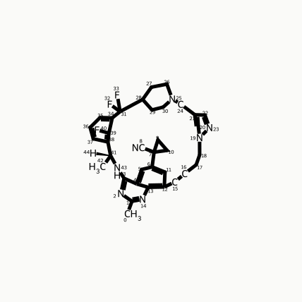 Cc1nc2c3cc(C4(C#N)CC4)cc(c3n1)CCCCn1cc(cn1)CN1CCC(CC1)C(F)(F)c1cccc(c1F)[C@@H](C)N2